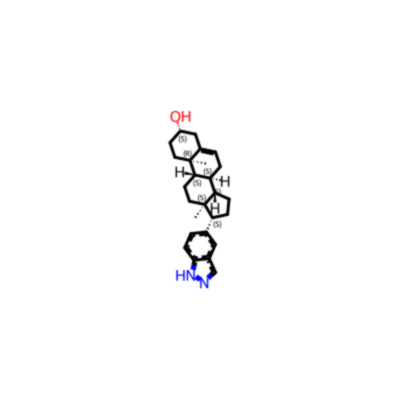 C[C@]12CC[C@H]3[C@@H](CC=C4C[C@@H](O)CC[C@@]43C)[C@@H]1CC[C@@H]2c1ccc2[nH]ncc2c1